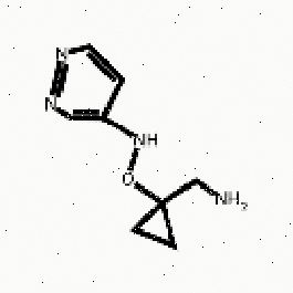 NCC1(ONc2ccnnc2)CC1